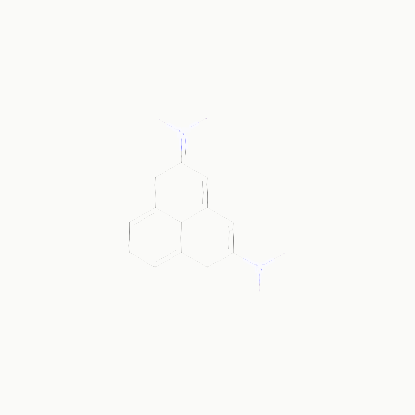 IN(I)C1=CC2=CC(=[N+](I)I)CC3=CCC=C(C1)C23